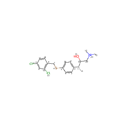 CC(c1ccc(SCc2ccc(Cl)cc2Cl)cc1)C(O)CN(C)C